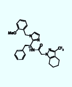 COc1ccccc1Cn1ccnc1[C@H](Cc1ccccc1)NC(=O)Cn1nc(C(F)(F)F)c2c1CCCC2